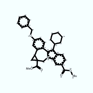 COC(=O)C12CC1c1cc(OCc3ccccc3)ccc1-c1c(C3CCCCC3)c3ccc(C(=O)OC(C)(C)C)cc3n1C2